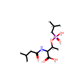 CC(C)CC(=O)NC(C(=O)O)C(C)OP(=O)(O)CC(C)C